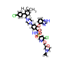 CC1(C)CCC(CN2CCN(c3ccc(C(=O)NS(=O)(=O)c4cnc(OC[C@@H]5CN(C6CC6)CCO5)c(Cl)c4)c(Oc4cccc5[nH]cnc45)c3)CC2)=C(c2ccc(Cl)cc2)C1